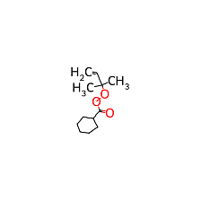 C=CC(C)(C)OOC(=O)C1CCCCC1